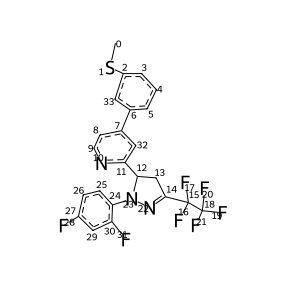 CSc1cccc(-c2ccnc(C3CC(C(F)(F)C(F)(F)F)=NN3c3ccc(F)cc3F)c2)c1